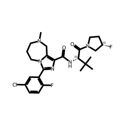 CN1CCCn2c(-c3cc(Cl)ccc3F)nc(C(=O)N[C@H](C(=O)N3CC[C@H](F)C3)C(C)(C)C)c2C1